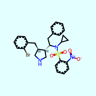 O=[N+]([O-])c1ccccc1S(=O)(=O)N(C1CC1)C(Cc1ccccc1)[C@@H]1CNC[C@H]1Cc1ccccc1Br